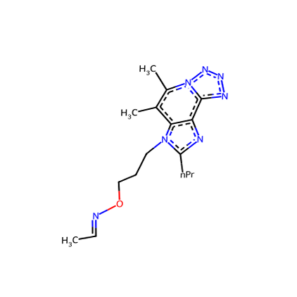 CC=NOCCCn1c(CCC)nc2c1c(C)c(C)n1nnnc21